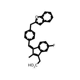 CC1=C(CC(=O)O)c2cc(F)ccc2/C1=C\c1ccc(Cc2cc3ccccc3o2)cc1